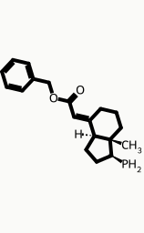 C[C@]12CCC/C(=C\C(=O)OCc3ccccc3)[C@@H]1CC[C@@H]2P